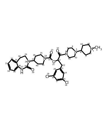 CN1CCC(N2CCN(C(=O)C(Cc3cc(Cl)cc(Cl)c3)OC(=O)N3CCC(N4CCc5ccccc5NC4=O)CC3)CC2)CC1